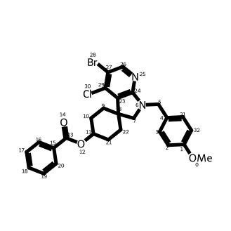 COc1ccc(CN2CC3(CCC(OC(=O)c4ccccc4)CC3)c3c2ncc(Br)c3Cl)cc1